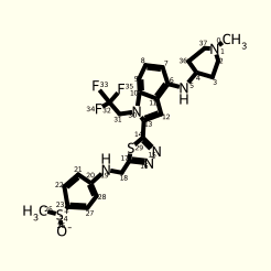 CN1CCC(Nc2cccc3c2cc(-c2nnc(CNc4ccc([S+](C)[O-])cc4)s2)n3CC(F)(F)F)CC1